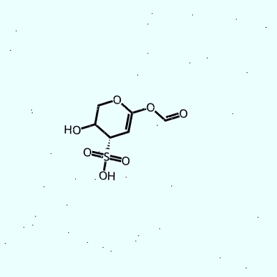 O=COC1=C[C@H](S(=O)(=O)O)C(O)CO1